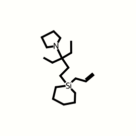 C=CC[Si]1(CCC(CC)(CC)N2CCCC2)CCCCC1